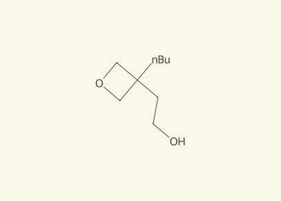 CCCCC1(CCO)COC1